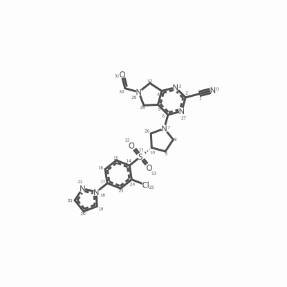 N#Cc1nc2c(c(N3CC[C@H](S(=O)(=O)c4ccc(-n5cccn5)cc4Cl)C3)n1)CN(C=O)C2